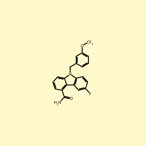 NC(=O)c1cccc2c1c1[c]c(F)ccc1n2Cc1cccc(OC(F)(F)F)c1